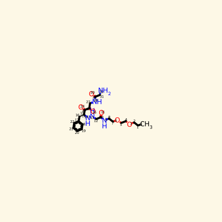 CCCOCCOCCNC(=O)CNN[C@@H](Cc1ccccc1)C(=O)C(=O)CNC(=O)CN